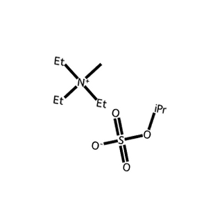 CC(C)OS(=O)(=O)[O-].CC[N+](C)(CC)CC